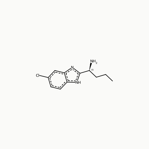 CCC[C@H](N)c1nc2cc(Cl)ccc2[nH]1